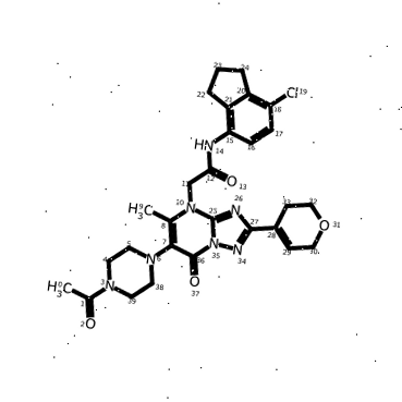 CC(=O)N1CCN(c2c(C)n(CC(=O)Nc3ccc(Cl)c4c3CCC4)c3nc(C4=CCOCC4)nn3c2=O)CC1